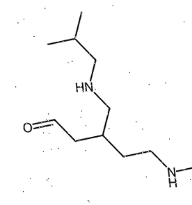 CNCCC(CC=O)CNCC(C)C